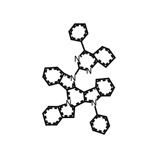 c1ccc(-c2nc(-n3c4ccccc4c4c3c3c5ccccc5n(-c5ccccc5)c3c3cc5ccccc5n34)nc3ccccc23)cc1